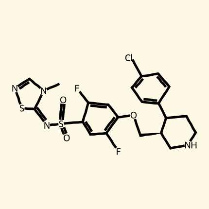 Cn1cns/c1=N/S(=O)(=O)c1cc(F)c(OC[C@@H]2CNCCC2c2ccc(Cl)cc2)cc1F